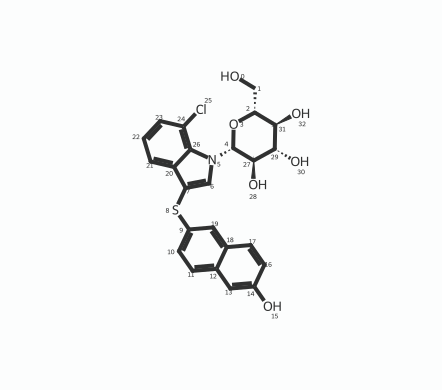 OC[C@H]1O[C@@H](n2cc(Sc3ccc4cc(O)ccc4c3)c3cccc(Cl)c32)[C@H](O)[C@@H](O)[C@@H]1O